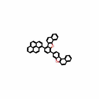 c1ccc2c(c1)ccc1c2oc2c(-c3ccc4c(c3)oc3ccc5ccccc5c34)ccc(-c3ccc4ccc5cccc6ccc3c4c56)c21